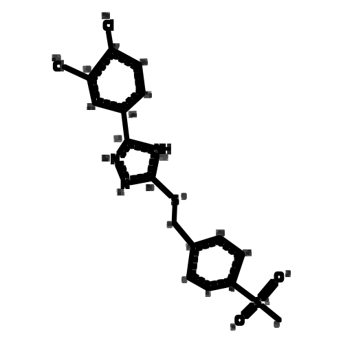 CS(=O)(=O)c1ccc(CSc2nnc(-c3ccc(Cl)c(Cl)c3)[nH]2)cc1